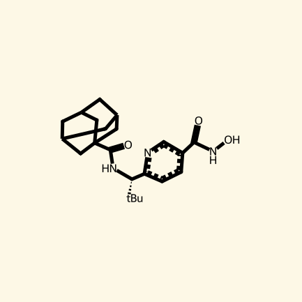 CC(C)(C)[C@H](NC(=O)C12CC3CC(CC(C3)C1)C2)c1ccc(C(=O)NO)cn1